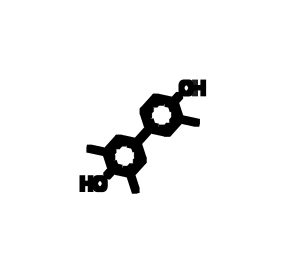 Cc1cc(-c2cc(C)c(O)c(C)c2)ccc1O